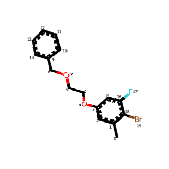 Cc1cc(OCCOCc2ccccc2)cc(F)c1Br